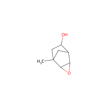 CC12CC(O)C(C1)C1OC12